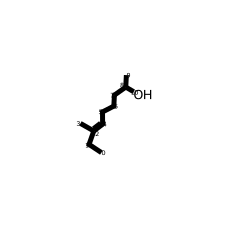 CCC(C)=CCCCC(C)O